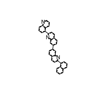 c1ccc2c(-c3ccc4ccc(-c5ccc6ccc(-c7cccc8ncccc78)nc6c5)cc4n3)cccc2c1